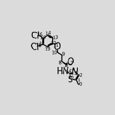 Cc1cnc(NC(=O)CCCOc2ccc(Cl)c(Cl)c2)s1